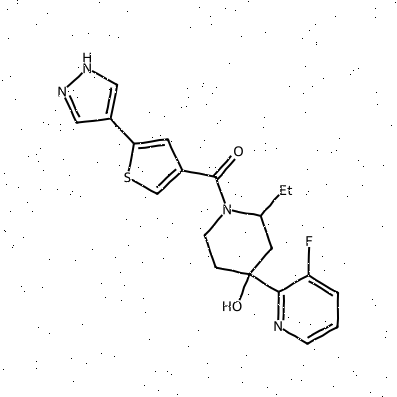 CCC1CC(O)(c2ncccc2F)CCN1C(=O)c1csc(-c2cn[nH]c2)c1